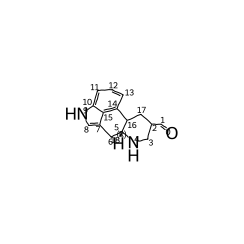 O=CC1CN[C@@H]2Cc3c[nH]c4cccc(c34)C2C1